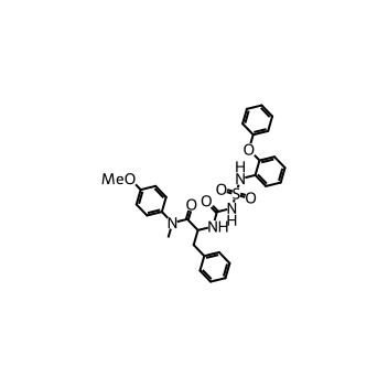 COc1ccc(N(C)C(=O)C(Cc2ccccc2)NC(=O)NS(=O)(=O)Nc2ccccc2Oc2ccccc2)cc1